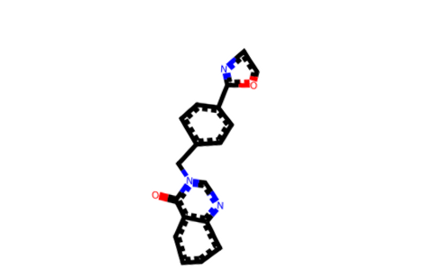 O=c1c2ccccc2ncn1Cc1ccc(-c2ncco2)cc1